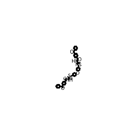 O=C(Nc1csc(-c2ccc(Oc3ccc(-c4nc(NC(=O)c5ccc(C(=O)c6ccccc6)cc5)cs4)cc3)cc2)n1)c1ccc(C(=O)c2ccccc2)cc1